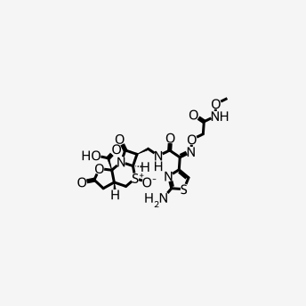 CONC(=O)CO/N=C(\C(=O)NC[C@@H]1C(=O)N2[C@@H]1[S+]([O-])C[C@@H]1CC(=O)O[C@@]12C(=O)O)c1csc(N)n1